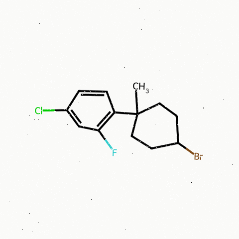 CC1(c2ccc(Cl)cc2F)CCC(Br)CC1